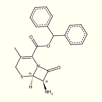 CC1=C(C(=O)OC(c2ccccc2)c2ccccc2)N2C(=O)[C@@H](N)[C@H]2SC1